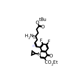 CCOC(=O)c1cn(C2CC2)c2c(/C=C\C[C@@H](N)CCC(=O)OC(C)(C)C)c(F)c(F)cc2c1=O